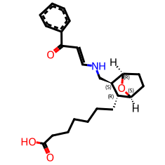 O=C(O)CCCCCC[C@@H]1[C@@H](CNC=CC(=O)c2ccccc2)[C@H]2CC[C@@H]1O2